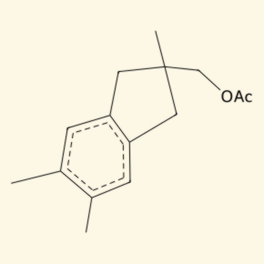 CC(=O)OCC1(C)Cc2cc(C)c(C)cc2C1